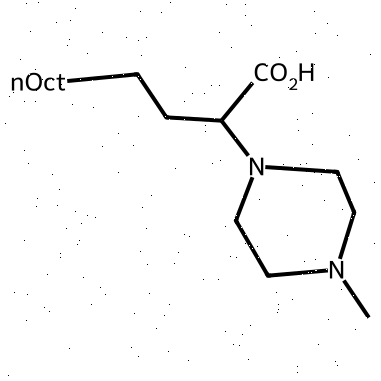 CCCCCCCCCCC(C(=O)O)N1CCN(C)CC1